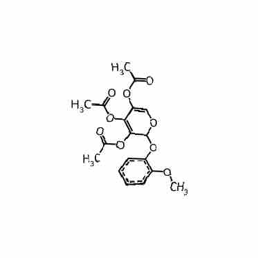 COc1ccccc1OC1OC=C(OC(C)=O)C(OC(C)=O)=C1OC(C)=O